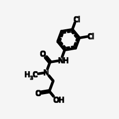 CN(CC(=O)O)C(=O)Nc1ccc(Cl)c(Cl)c1